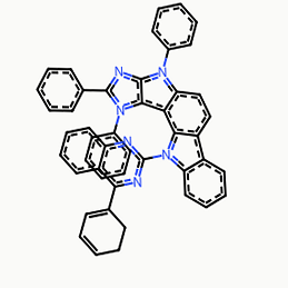 C1=CCCC(c2nc(-n3c4ccccc4c4ccc5c(c6c(nc(-c7ccccc7)n6-c6ccccc6)n5-c5ccccc5)c43)nc3ccccc23)=C1